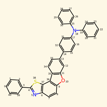 c1ccc(-c2nc3ccc4oc5cc(-c6ccc(N(c7ccccc7)c7ccccc7)cc6)ccc5c4c3s2)cc1